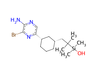 CC(C)(C[C@@H]1CCC[C@H](c2cnc(N)c(Br)n2)C1)[Si](C)(C)O